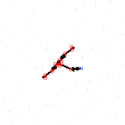 C=CC(=O)OCCCCCCOc1ccc2cc(C(=O)Oc3ccc(OC(=O)c4ccc5cc(OCCCCCCOC(=O)C=C)ccc5c4)c(C(=O)OCCCCCCCCOc4ccc(-c5ccc(C#N)cc5)cc4)c3)ccc2c1